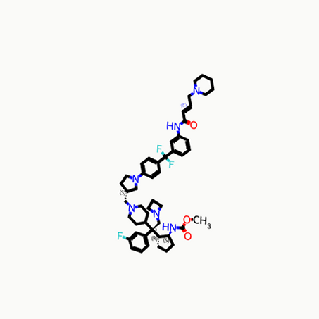 COC(=O)N[C@H]1CCC[C@@H]1[C@](CN1CCC1)(c1cccc(F)c1)C1CCN(C[C@@H]2CCN(c3ccc(C(F)(F)c4cccc(NC(=O)/C=C/CN5CCCCC5)c4)cc3)C2)CC1